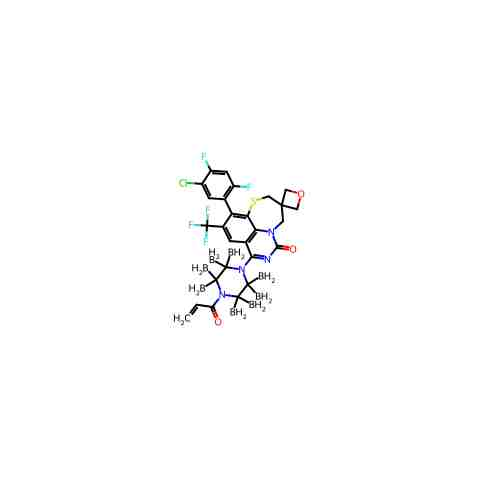 BC1(B)N(C(=O)C=C)C(B)(B)C(B)(B)N(c2nc(=O)n3c4c(c(-c5cc(Cl)c(F)cc5F)c(C(F)(F)F)cc24)SCC2(COC2)C3)C1(B)B